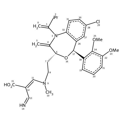 C=C(C(C)C)N1C(=C)[C@@H](CCN(C)/C=C(\C=N)C(=O)O)O[C@H](c2cccc(OC)c2OC)c2cc(Cl)ccc21